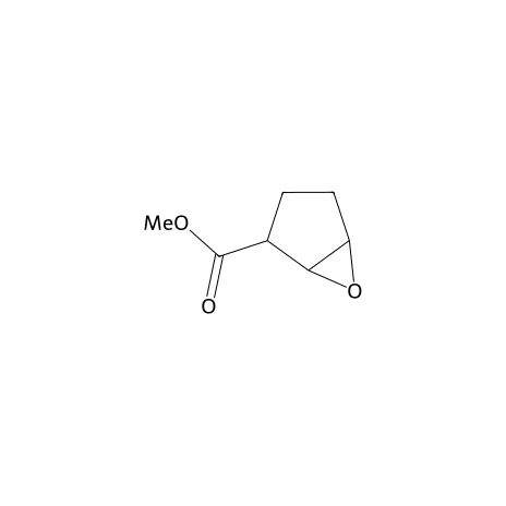 COC(=O)C1CCC2OC21